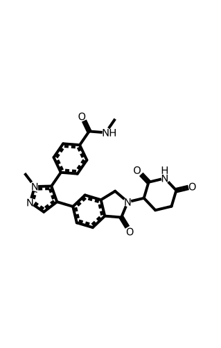 CNC(=O)c1ccc(-c2c(-c3ccc4c(c3)CN(C3CCC(=O)NC3=O)C4=O)cnn2C)cc1